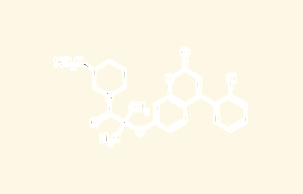 CC(C)(Oc1ccc2c(-c3ccccc3Cl)cc(=O)oc2c1)C(=O)N1CCC[C@H](C(=O)O)C1